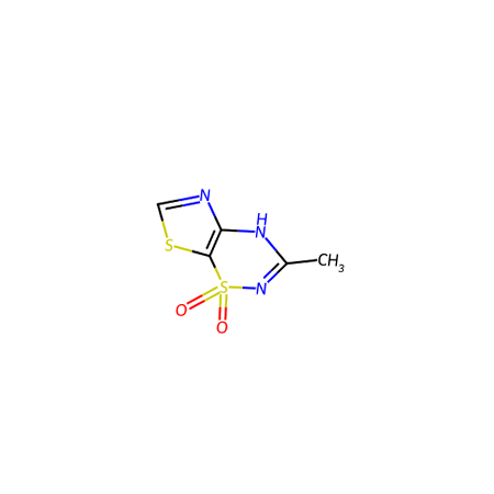 CC1=NS(=O)(=O)c2scnc2N1